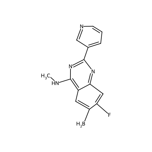 Bc1cc2c(NC)nc(-c3cccnc3)nc2cc1F